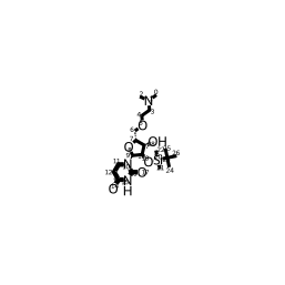 CN(C)CCOC[C@H]1O[C@@H](n2ccc(=O)[nH]c2=O)C(O[Si](C)(C)C(C)(C)C)[C@H]1O